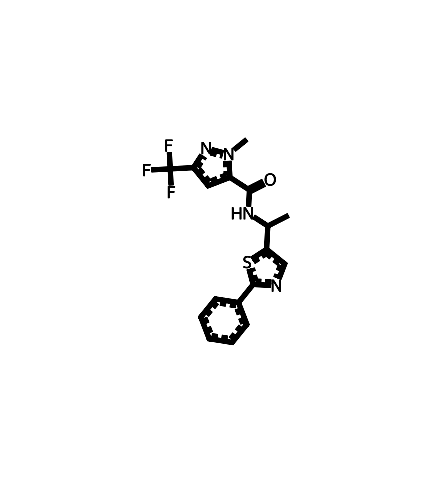 CC(NC(=O)c1cc(C(F)(F)F)nn1C)c1cnc(-c2ccccc2)s1